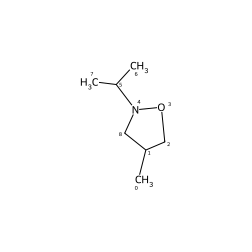 CC1CON(C(C)C)C1